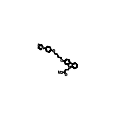 O=C(O)CCn1c2ccccc2c2ccc(OCCCCOc3ccc(-n4ccnc4)cc3)cc21